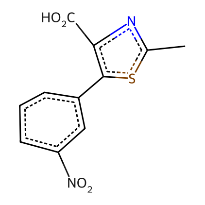 Cc1nc(C(=O)O)c(-c2cccc([N+](=O)[O-])c2)s1